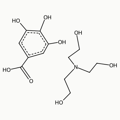 O=C(O)c1cc(O)c(O)c(O)c1.OCCN(CCO)CCO